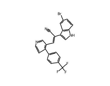 N#C/C(=C\c1cnccc1-c1ccc(C(F)(F)F)cc1)c1c[nH]c2ccc(Br)cc12